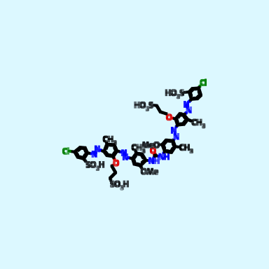 COc1cc(N=Nc2cc(C)c(N=Nc3ccc(Cl)cc3S(=O)(=O)O)cc2OCCCS(=O)(=O)O)c(C)cc1NC(=O)Nc1cc(C)c(N=Nc2cc(C)c(N=Nc3ccc(Cl)cc3S(=O)(=O)O)cc2OCCCS(=O)(=O)O)cc1OC